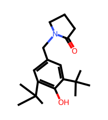 CC(C)(C)c1cc(CN2CCCC2=O)cc(C(C)(C)C)c1O